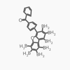 Bc1c(B)c(B)c2c(oc3c(-c4ccc(C(=O)c5ccccc5)cc4)c(B)c(B)c(B)c32)c1B